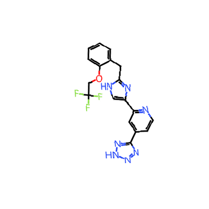 FC(F)(F)COc1ccccc1Cc1nc(-c2cc(-c3nn[nH]n3)ccn2)c[nH]1